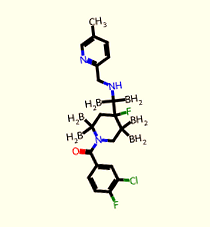 BC1(B)CC(F)(C(B)(B)NCc2ccc(C)cn2)C(B)(B)CN1C(=O)c1ccc(F)c(Cl)c1